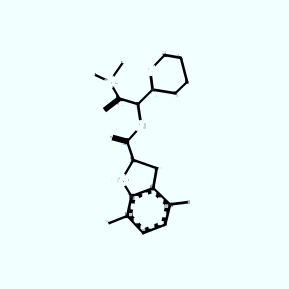 Cc1ccc(F)c2c1NC(C(=O)NC(C(=O)N(C)C)C1CCCCN1)C2